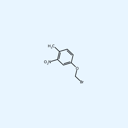 Cc1ccc(OCBr)cc1[N+](=O)[O-]